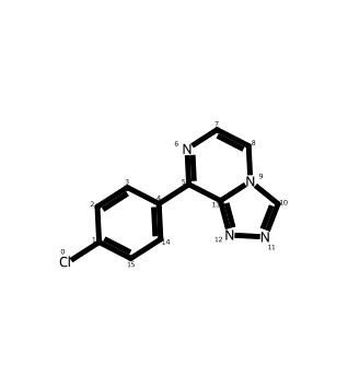 Clc1ccc(-c2nccn3cnnc23)cc1